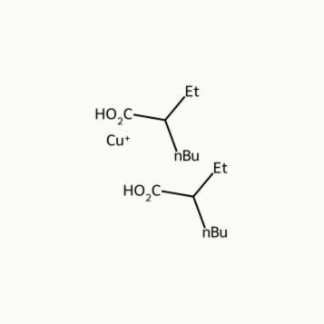 CCCCC(CC)C(=O)O.CCCCC(CC)C(=O)O.[Cu+]